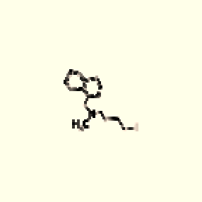 CN(C/C=C/CI)Cc1cccc2ccccc12